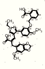 CCn1cc(C=C(Cc2cc3c(cc2OC)OCO3)C(=O)O)c(-c2ccc(OC)c(OCc3ccccc3C(=O)O)c2)n1